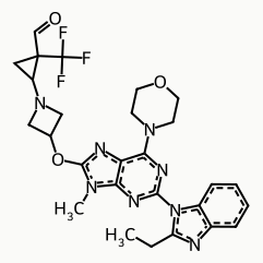 CCc1nc2ccccc2n1-c1nc(N2CCOCC2)c2nc(OC3CN(C4CC4(C=O)C(F)(F)F)C3)n(C)c2n1